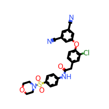 N#Cc1cc(C#N)cc(Oc2ccc(CC(=O)Nc3ccc(S(=O)(=O)N4CCOCC4)cc3)cc2Cl)c1